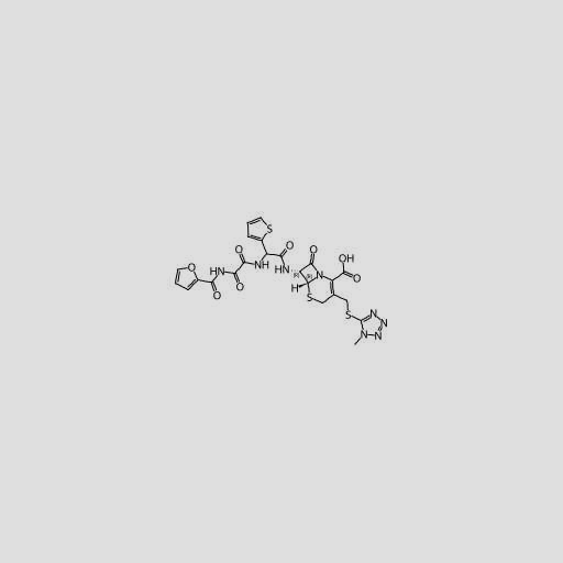 Cn1nnnc1SCC1=C(C(=O)O)N2C(=O)[C@@H](NC(=O)C(NC(=O)C(=O)NC(=O)c3ccco3)c3cccs3)[C@H]2SC1